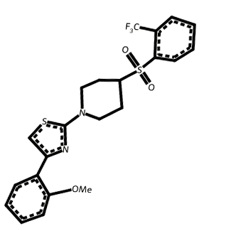 COc1ccccc1-c1csc(N2CCC(S(=O)(=O)c3ccccc3C(F)(F)F)CC2)n1